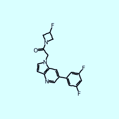 O=C(Cn1ccc2ncc(-c3cc(F)cc(F)c3)cc21)N1CC(F)C1